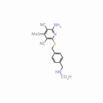 CSc1c(C#N)c(N)nc(SCc2ccc(CNC(=O)O)cc2)c1C#N